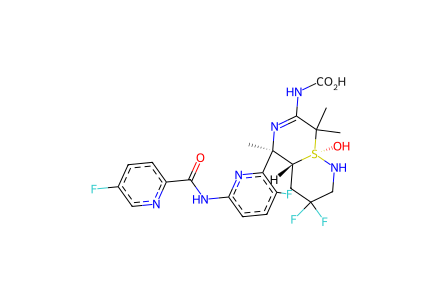 CC1(C)C(NC(=O)O)=N[C@](C)(c2nc(NC(=O)c3ccc(F)cn3)ccc2F)[C@H]2CC(F)(F)CN[S@@]21O